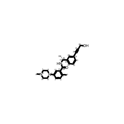 Cc1ccc(N2CCN(C)CC2)cc1C(=O)N[C@H](C)c1cccc(C#CCO)c1